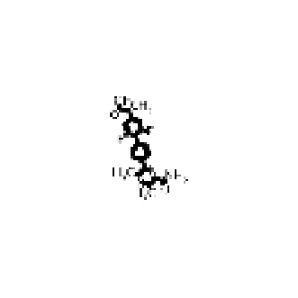 Cc1nc(C)c(-c2ccc(-c3c(F)cc(C(C)C(=O)O)cc3F)cc2)nc1C(N)=O